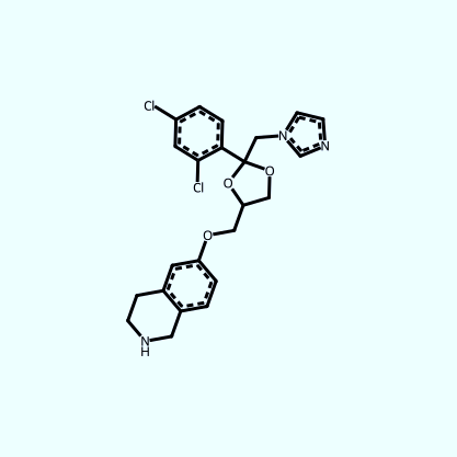 Clc1ccc(C2(Cn3ccnc3)OCC(COc3ccc4c(c3)CCNC4)O2)c(Cl)c1